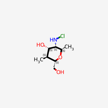 C[C@H]1[C@H](O)[C@H](NCl)[C@H](C)O[C@@H]1CO